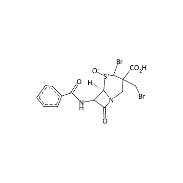 O=C(NC1C(=O)N2CC(CBr)(C(=O)O)C(Br)[S+]([O-])[C@H]12)c1ccccc1